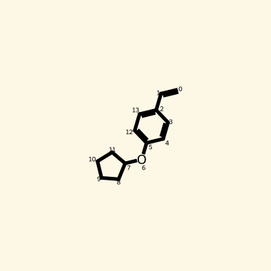 C=Cc1ccc(OC2CCCC2)cc1